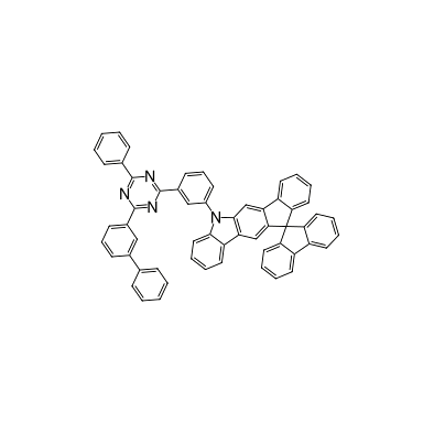 c1ccc(-c2cccc(-c3nc(-c4ccccc4)nc(-c4cccc(-n5c6ccccc6c6cc7c(cc65)-c5ccccc5C75c6ccccc6-c6ccccc65)c4)n3)c2)cc1